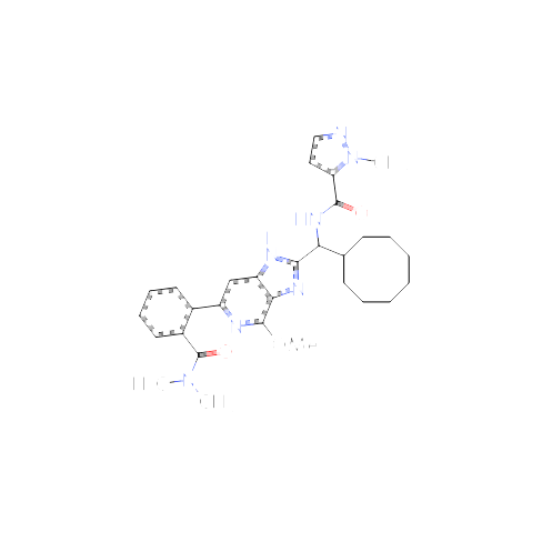 COc1nc(-c2ccccc2C(=O)N(C)C)cc2[nH]c(C(NC(=O)c3ccnn3C)C3CCCCCCC3)nc12